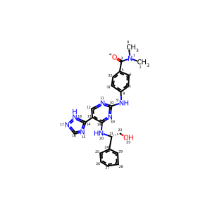 CN(C)C(=O)c1ccc(Nc2ncc(-c3ncn[nH]3)c(N[C@H](CO)c3ccccc3)n2)cc1